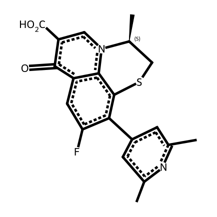 Cc1cc(-c2c(F)cc3c(=O)c(C(=O)O)cn4c3c2SC[C@@H]4C)cc(C)n1